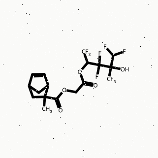 CC1(C(=O)OCC(=O)OC(C(F)(F)F)C(F)(F)C(O)(C(F)F)C(F)(F)F)CC2C=CC1C2